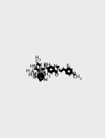 COc1ccc(CCn2cnc3cc(N(C)C(=N[C@H]4C[C@H]5C[C@@H]([C@@H]4C)C5(C)C)N4C[C@H](C)N[C@@H](C)C4)ccc3c2=O)c(F)c1